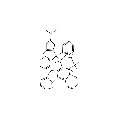 CC1=C(C(c2ccccc2)(c2ccccc2)C2(C)C3=C4Cc5ccccc5C4=C4C=CCCC4C3(C)C(C)(C)C(C)(C)C2(C)C)CC(C(C)C)=C1